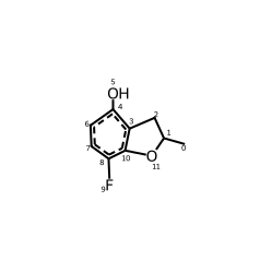 CC1Cc2c(O)ccc(F)c2O1